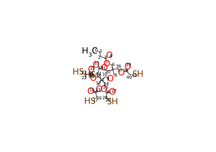 CCCC(=O)OCC(COCC(COC(=O)CS)(COC(=O)CS)COC(=O)CS)(COC(=O)CS)COC(=O)CS